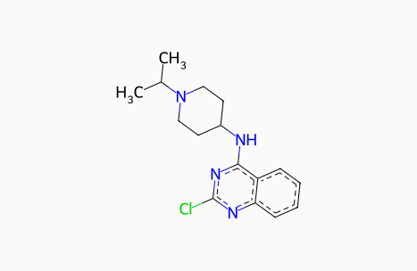 CC(C)N1CCC(Nc2nc(Cl)nc3ccccc23)CC1